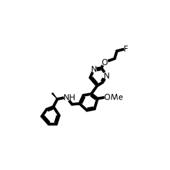 COc1ccc(CN[C@H](C)c2ccccc2)cc1-c1cnc(OCCF)nc1